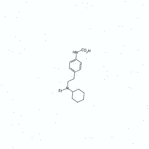 CCN(CCc1ccc(NC(=O)O)cc1)C1CCCCC1